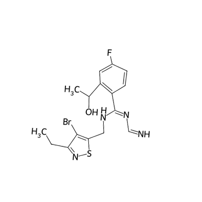 CCc1nsc(CN/C(=N\C=N)c2ccc(F)cc2C(C)O)c1Br